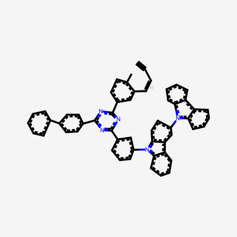 C#C/C=C\c1cc(-c2nc(-c3ccc(-c4ccccc4)cc3)nc(-c3cccc(-n4c5ccccc5c5cc(-n6c7ccccc7c7ccccc76)ccc54)c3)n2)ccc1C